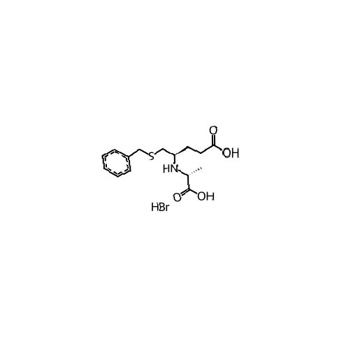 Br.C[C@@H](N[C@H](CCC(=O)O)CSCc1ccccc1)C(=O)O